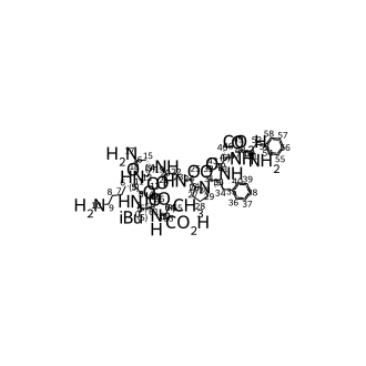 CC[C@H](C)[C@H](NC(=O)[C@H](CCCCN)NC(=O)[C@H](CC(N)=O)NC(=O)CNC(=O)[C@@H]1CCCN1C(=O)[C@H](Cc1ccccc1)NC(=O)[C@H](CC(=O)O)NC(=O)[C@@H](N)Cc1ccccc1)C(=O)N[C@H](C(=O)O)[C@@H](C)O